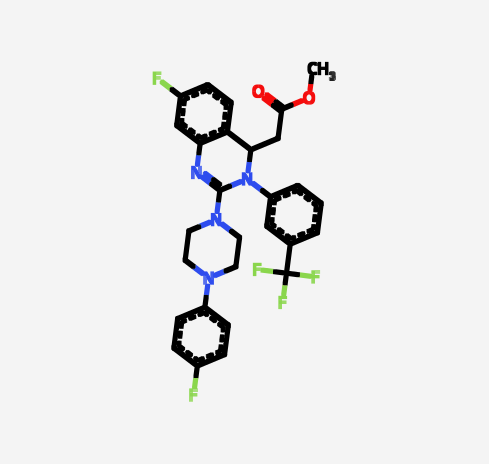 COC(=O)CC1c2ccc(F)cc2N=C(N2CCN(c3ccc(F)cc3)CC2)N1c1cccc(C(F)(F)F)c1